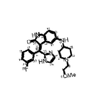 COCCN1CCC(Nc2ccc3c(c2)C(=C(c2cccc(F)c2)c2ncc[nH]2)C(=O)N3)CC1